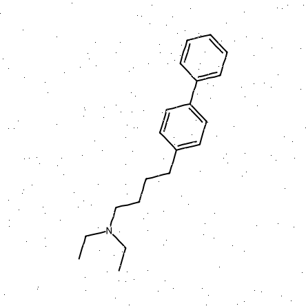 CCN(CC)CCCCc1ccc(-c2ccccc2)cc1